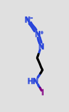 [N-]=[N+]=NCCNI